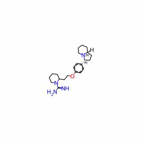 N=C(N)N1CCCCC1CCOc1ccc([C@H]2CC[C@H]3CCCCN32)cc1